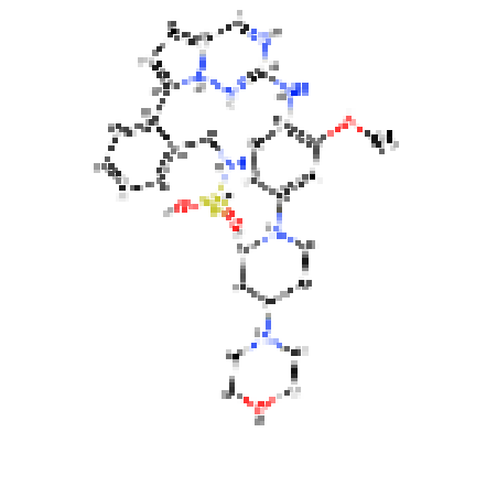 COc1cc(N2CCC(N3CCOCC3)CC2)ccc1Nc1ncc2ccc(-c3ccccc3CN[SH](=O)=O)n2n1